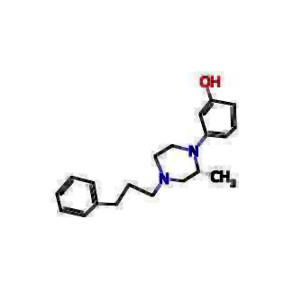 C[C@@H]1CN(CCCc2ccccc2)CCN1c1cccc(O)c1